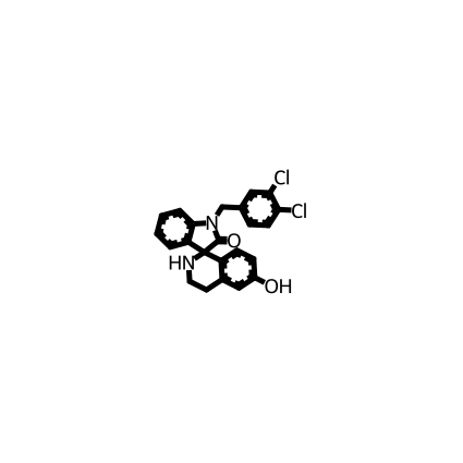 O=C1N(Cc2ccc(Cl)c(Cl)c2)c2ccccc2C12NCCc1cc(O)ccc12